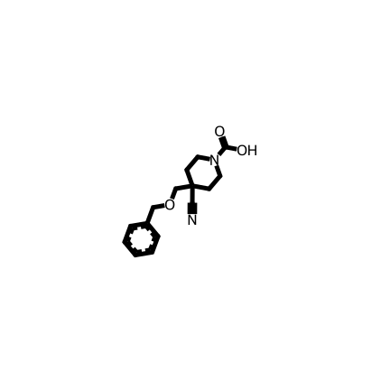 N#CC1(COCc2ccccc2)CCN(C(=O)O)CC1